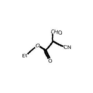 CCOC(=O)C(C#N)C=O